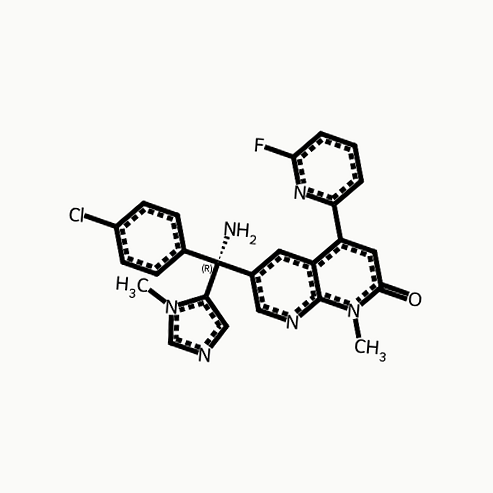 Cn1cncc1[C@@](N)(c1ccc(Cl)cc1)c1cnc2c(c1)c(-c1cccc(F)n1)cc(=O)n2C